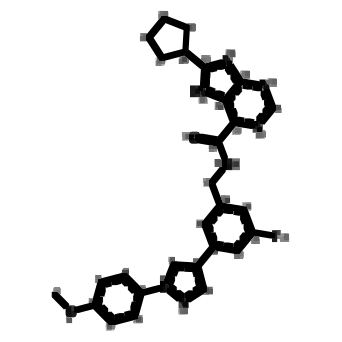 COc1ccc(-n2cc(-c3cc(F)cc(CNC(=O)c4ncnc5nc(C6CCCC6)[nH]c45)c3)cn2)cc1